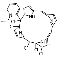 CCN1CC=CC=C1C1(Cl)c2ccc([nH]2)C=C2C=CC(=N2)C=C2[CH]C(Cl)C(Cl)(N2)C(Cl)C2=NC1(Cl)C=C2